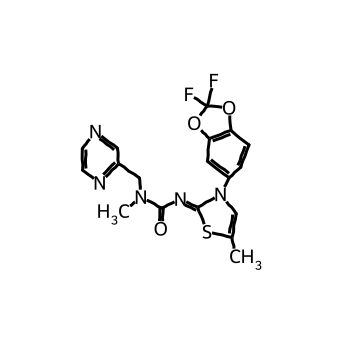 Cc1cn(-c2ccc3c(c2)OC(F)(F)O3)c(=NC(=O)N(C)Cc2cnccn2)s1